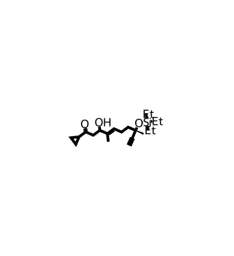 C#C[C@](C)(CC/C=C(\C)C(O)CC(=O)C1CC1)O[Si](CC)(CC)CC